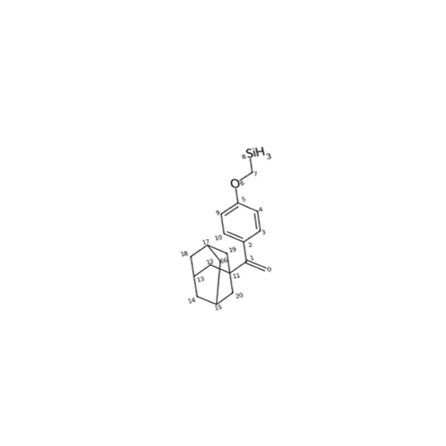 C=C(c1ccc(OC[SiH3])cc1)C12CC3CC(CC(C3)C1)C2